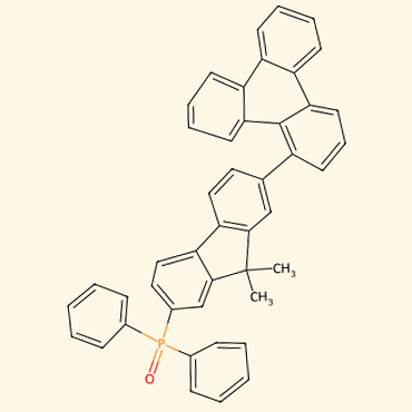 CC1(C)c2cc(-c3cccc4c5ccccc5c5ccccc5c34)ccc2-c2ccc(P(=O)(c3ccccc3)c3ccccc3)cc21